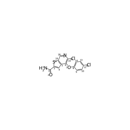 NC(=O)c1cc2c(Oc3ccc(Cl)cc3)c(Cl)ncc2s1